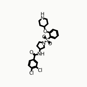 O=C(NC1CCN(S(=O)(=O)c2ccccc2OC2CCNCC2)C1)c1ccc(Cl)c(Cl)c1